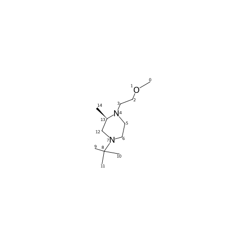 COCCN1CCN(C(C)(C)C)C[C@H]1C